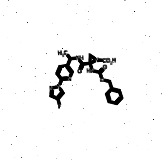 CC(NC(=O)C1(NC(=O)OCc2ccccc2)CN1C(=O)O)c1ccc(-n2cc(F)cn2)nc1